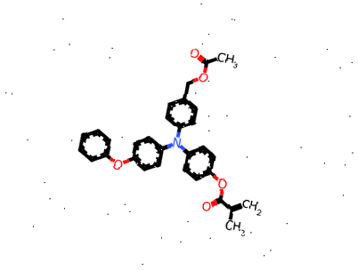 C=C(C)C(=O)Oc1ccc(N(c2ccc(COC(C)=O)cc2)c2ccc(Oc3ccccc3)cc2)cc1